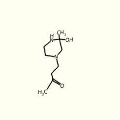 CC(=O)CCN1CCNC(C)(O)C1